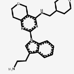 NCCc1cn(-c2nc3c(c(NCC4CCOCC4)n2)COCC3)c2ccccc12